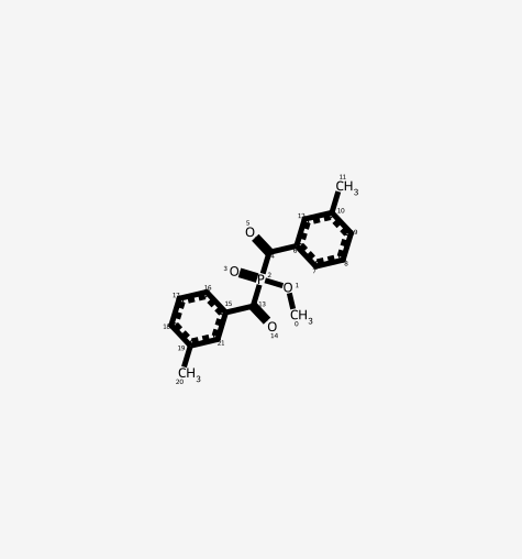 COP(=O)(C(=O)c1cccc(C)c1)C(=O)c1cccc(C)c1